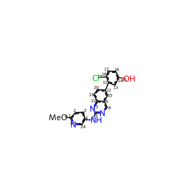 COc1ccc(Nc2ncc3cc(-c4cc(O)ccc4Cl)ccc3n2)cn1